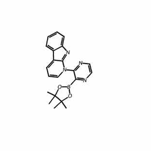 CC1(C)OB(c2nccnc2-n2cccc3c4ccccc4nc2-3)OC1(C)C